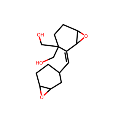 OCC1(CO)CCC2OC2/C1=C/C1CCC2OC2C1